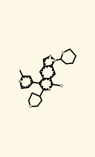 Cc1cc(-c2c(C3CCOCC3)nc(Cl)c3cc4c(cnn4C4CCCCO4)cc23)ccn1